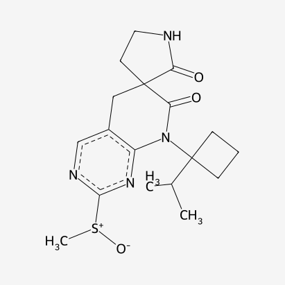 CC(C)C1(N2C(=O)C3(CCNC3=O)Cc3cnc([S+](C)[O-])nc32)CCC1